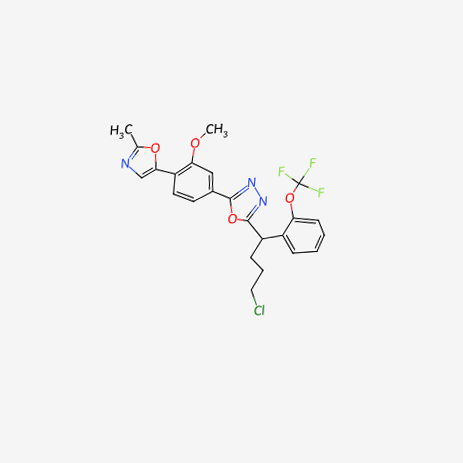 COc1cc(-c2nnc(C(CCCCl)c3ccccc3OC(F)(F)F)o2)ccc1-c1cnc(C)o1